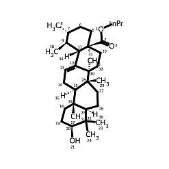 CCCOC(=O)[C@]12CC[C@@H](C)[C@H](C)[C@H]1C1=CC[C@@H]3[C@@]4(C)CC[C@H](O)C(C)(C)[C@@H]4CC[C@@]3(C)[C@]1(C)CC2